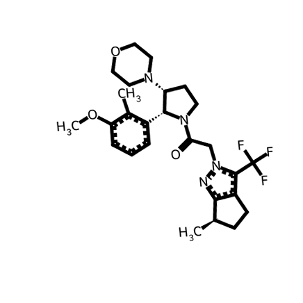 COc1cccc([C@@H]2[C@H](N3CCOCC3)CCN2C(=O)Cn2nc3c(c2C(F)(F)F)CC[C@H]3C)c1C